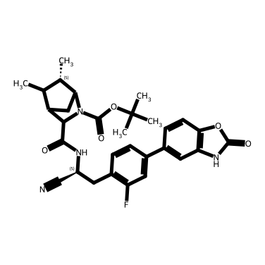 CC1C2CC([C@H]1C)N(C(=O)OC(C)(C)C)C2C(=O)N[C@H](C#N)Cc1ccc(-c2ccc3oc(=O)[nH]c3c2)cc1F